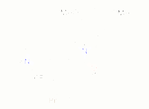 COc1cc(CN2CCc3c(cc(CBr)cc3-c3cccnc3C(F)(F)F)C2=O)cc(OC)c1